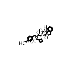 C#Cc1ccc(CN(C(=O)CN2C(=O)N[C@@]3(CCc4ccccc43)C2=O)[C@@H](C)C2CCC2)cc1